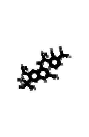 COc1cc2c(NC(C)c3cccc(C(F)F)c3F)nc(C)nc2cc1C(C)(C)O